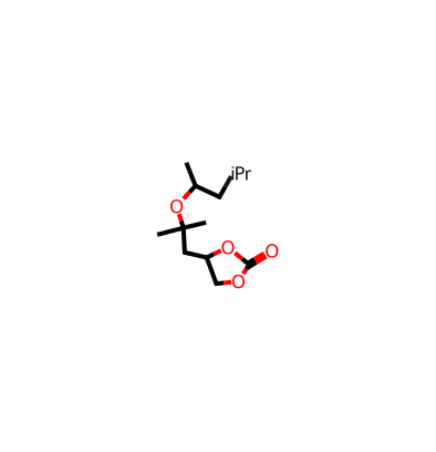 CC(C)CC(C)OC(C)(C)CC1COC(=O)O1